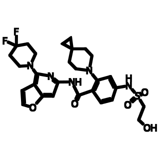 O=C(Nc1cc2occc2c(N2CCC(F)(F)CC2)n1)c1ccc(NS(=O)(=O)CCO)cc1N1CCC2(CC1)CC2